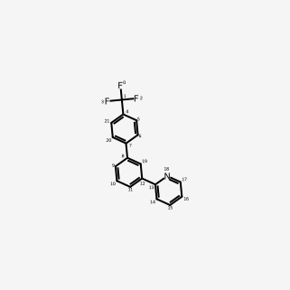 FC(F)(F)c1ccc(-c2cccc(-c3ccccn3)c2)cc1